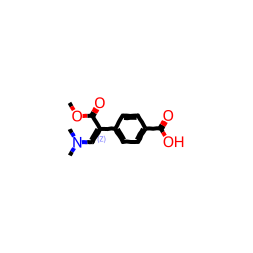 COC(=O)/C(=C\N(C)C)c1ccc(C(=O)O)cc1